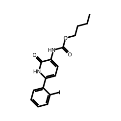 CCCCOC(=O)Nc1ccc(-c2ccccc2I)[nH]c1=O